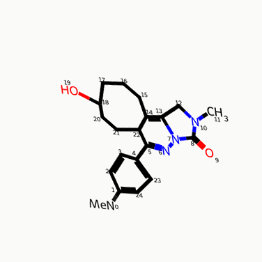 CNc1ccc(C2=NN3C(=O)N(C)CC3=C3CCCC(O)CCC23)cc1